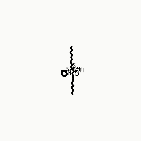 CCCCCCCCCCC(C(=O)O)C(CCCCCCCCCC)(C(O)=S)c1nc2ccccc2s1